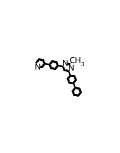 Cc1nc(-c2ccc(-c3ccccc3)cc2)cc(-c2ccc(-c3cccnc3)cc2)n1